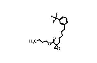 CCCCOC(=O)C1(CCCCCc2cccc(C(F)(F)F)c2)CO1